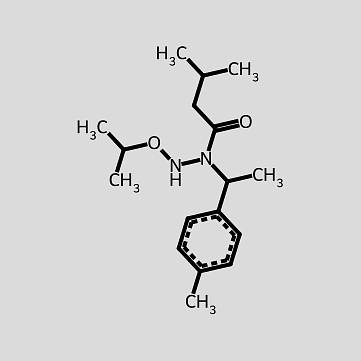 Cc1ccc(C(C)N(NOC(C)C)C(=O)CC(C)C)cc1